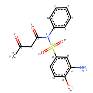 CC(=O)CC(=O)N(c1ccccc1)S(=O)(=O)c1ccc(O)c(N)c1